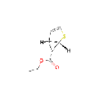 CCOC(=O)[C@@H]1[C@@H]2C=CS[C@@H]21